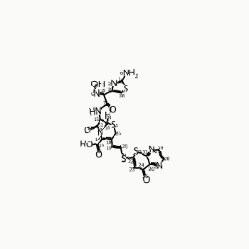 Nc1nc(C(=NO)C(=O)NC2C(=O)N3C(C(=O)O)=C(C=CSc4cc(=O)c5nccnc5s4)CS[C@@H]23)cs1